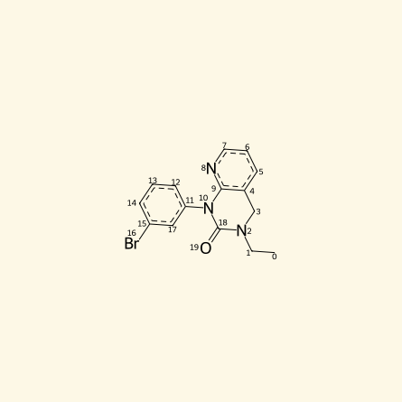 CCN1Cc2cccnc2N(c2cccc(Br)c2)C1=O